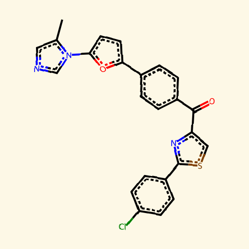 Cc1cncn1-c1ccc(-c2ccc(C(=O)c3csc(-c4ccc(Cl)cc4)n3)cc2)o1